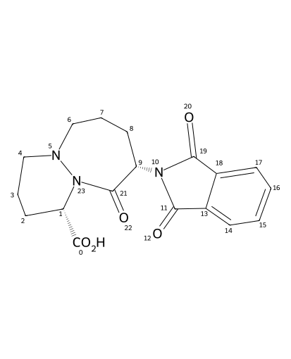 O=C(O)[C@@H]1CCCN2CCC[C@H](N3C(=O)c4ccccc4C3=O)C(=O)N12